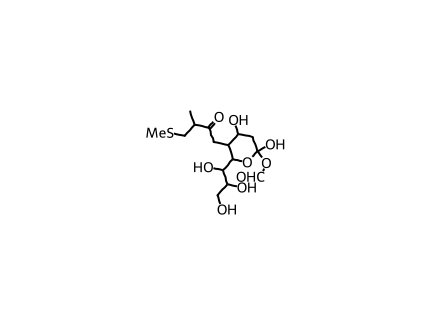 CSCC(C)C(=O)CC1C(O)CC(O)(OC=O)OC1C(O)C(O)CO